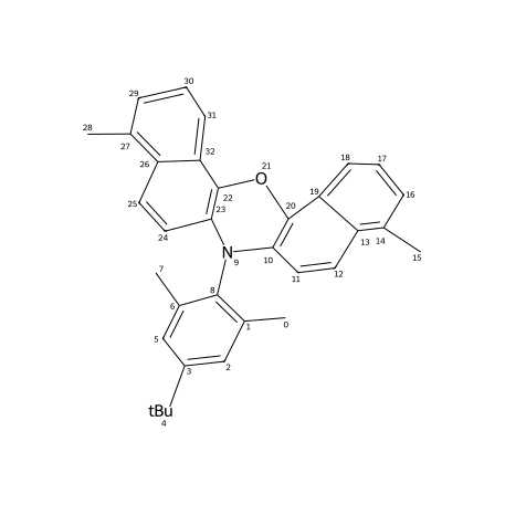 Cc1cc(C(C)(C)C)cc(C)c1N1c2ccc3c(C)cccc3c2Oc2c1ccc1c(C)cccc21